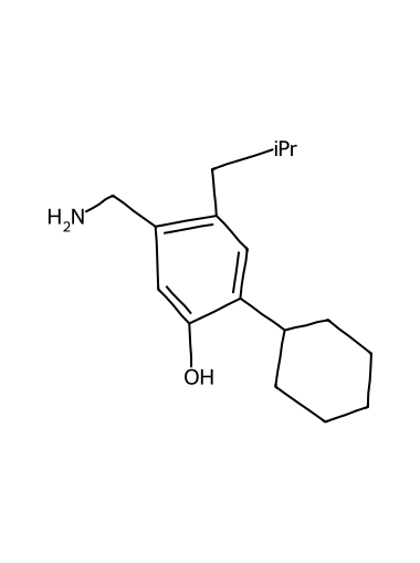 CC(C)Cc1cc(C2CCCCC2)c(O)cc1CN